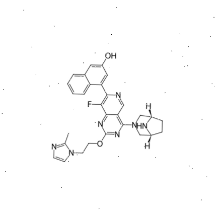 Cc1nccn1CCOc1nc(N2C[C@H]3CC[C@@H](C2)N3)c2cnc(-c3cc(O)cc4ccccc34)c(F)c2n1